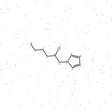 CCCCC(Cl)Cn1cccc1